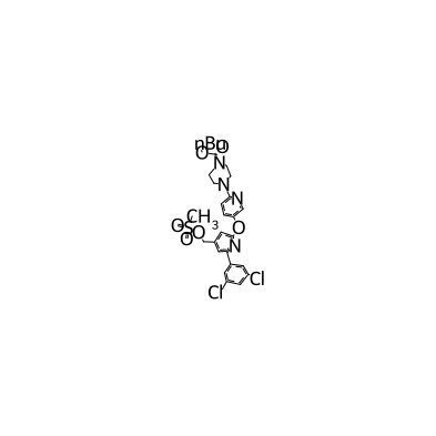 CCCCOC(=O)N1CCN(c2ccc(Oc3cc(COS(C)(=O)=O)cc(-c4cc(Cl)cc(Cl)c4)n3)cn2)CC1